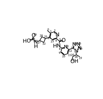 Cc1cnc(C(=O)Nc2cccc(-c3nnnn3C(C)CO)n2)cc1C1CC(NC(=O)O)C1